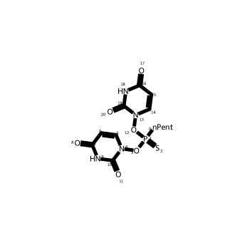 CCCCCP(=S)(On1ccc(=O)[nH]c1=O)On1ccc(=O)[nH]c1=O